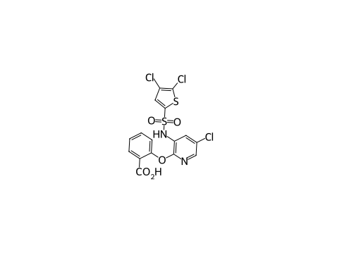 O=C(O)c1ccccc1Oc1ncc(Cl)cc1NS(=O)(=O)c1cc(Cl)c(Cl)s1